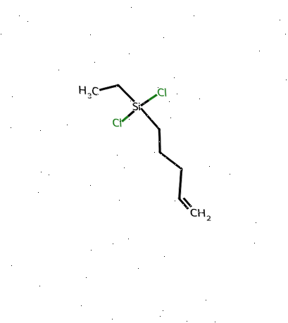 C=CCCC[Si](Cl)(Cl)CC